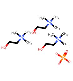 C[N+](C)(C)CCO.C[N+](C)(C)CCO.C[N+](C)(C)CCO.O=P([O-])([O-])[O-]